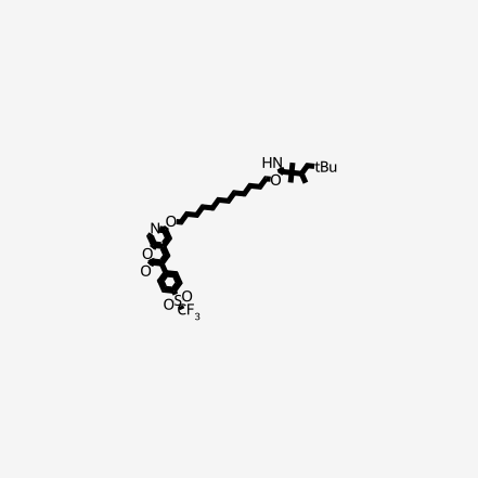 CC(CC(C)(C)C)C(C)(C)C(=N)OCCCCCCCCCCCCOc1cc2cc(-c3ccc(S(=O)(=O)C(F)(F)F)cc3)c(=O)oc2cn1